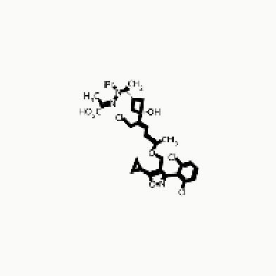 C=C([C@H]1C[C@](O)(/C(=C/C=C(\C)OCc2c(-c3c(Cl)cccc3Cl)noc2C2CC2)CCl)C1)N(/N=C(\C)C(=O)O)C(C)C